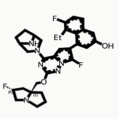 CCc1c(F)ccc2cc(O)cc(-c3cc4c(N5CC6CCC(C5)N6)nc(OC[C@@]56CCCN5C[C@H](F)C6)nn4c3F)c12